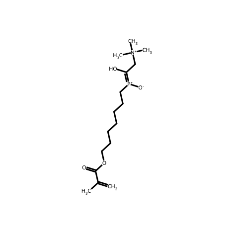 C=C(C)C(=O)OCCCCCCC/[P+]([O-])=C(\O)C[N+](C)(C)C